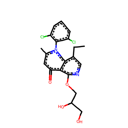 CCc1cnc(OCC(O)CO)c2c(=O)cc(C)n(-c3c(Cl)cccc3Cl)c12